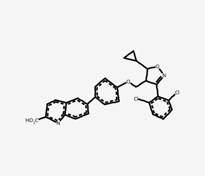 O=C(O)c1ccc2cc(-c3ccc(OCC4C(c5c(Cl)cccc5Cl)=NOC4C4CC4)cc3)ccc2n1